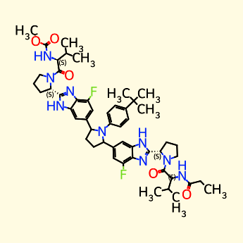 CCC(=O)N[C@H](C(=O)N1CCC[C@H]1c1nc2c(F)cc(C3CCC(c4cc(F)c5nc([C@@H]6CCCN6C(=O)[C@@H](NC(=O)OC)C(C)C)[nH]c5c4)N3c3ccc(C(C)(C)C)cc3)cc2[nH]1)C(C)C